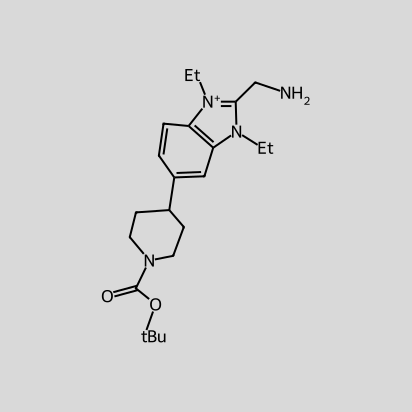 CCn1c(CN)[n+](CC)c2ccc(C3CCN(C(=O)OC(C)(C)C)CC3)cc21